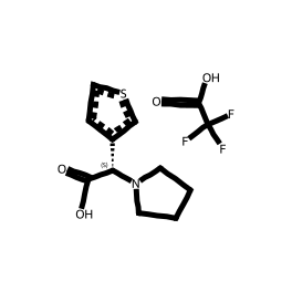 O=C(O)C(F)(F)F.O=C(O)[C@H](c1ccsc1)N1CCCC1